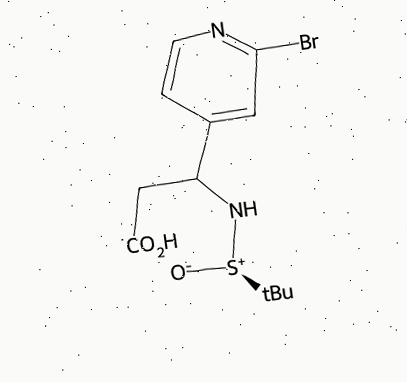 CC(C)(C)[S@@+]([O-])NC(CC(=O)O)c1ccnc(Br)c1